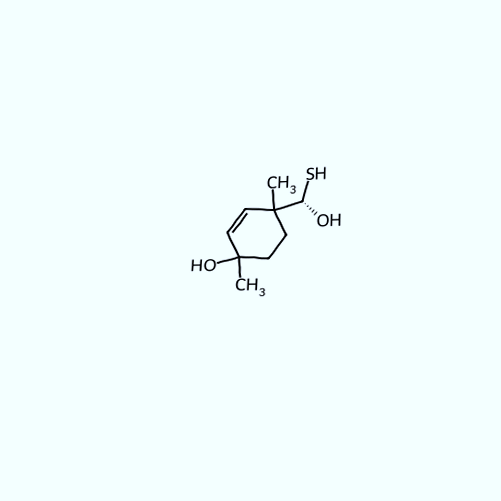 CC1(O)C=CC(C)([C@@H](O)S)CC1